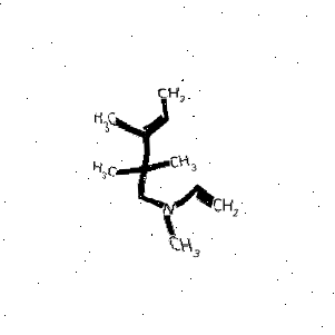 C=CN(C)CC(C)(C)/C(C)=C/C